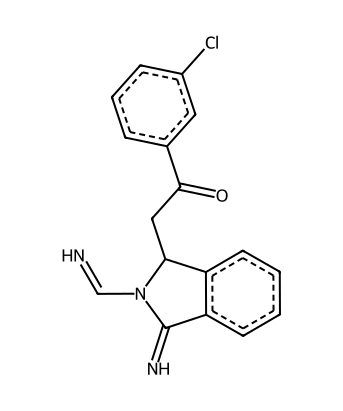 N=CN1C(=N)c2ccccc2C1CC(=O)c1cccc(Cl)c1